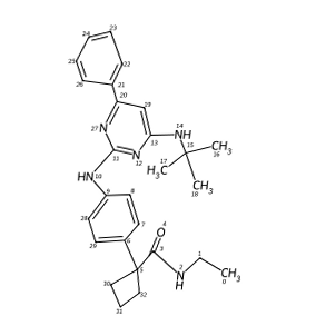 CCNC(=O)C1(c2ccc(Nc3nc(NC(C)(C)C)cc(-c4ccccc4)n3)cc2)CCC1